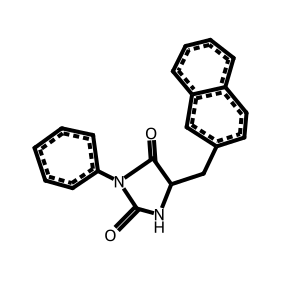 O=C1NC(Cc2ccc3ccccc3c2)C(=O)N1c1ccccc1